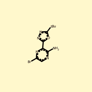 CC(C)(C)c1nnc(-c2nc(Br)cnc2N)o1